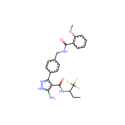 CCC(NC(=O)c1c(-c2ccc(CNC(=O)c3ccccc3OC)cc2)n[nH]c1N)C(F)(F)F